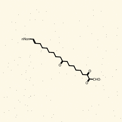 CCCCCCCCCC=CCCCCCCCC(=O)CCCCCCC(=O)C(=O)C=O